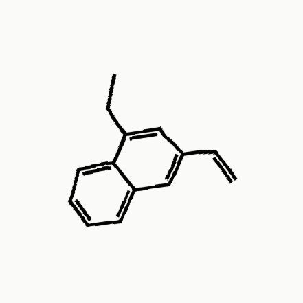 C=Cc1cc(CC)c2ccccc2c1